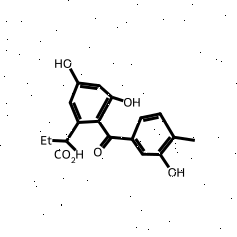 CCC(C(=O)O)c1cc(O)cc(O)c1C(=O)c1ccc(C)c(O)c1